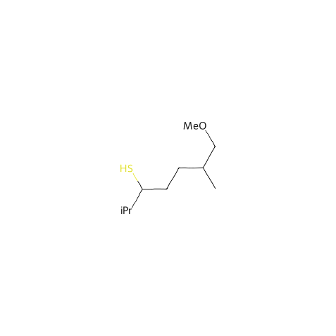 COCC(C)CCC(S)C(C)C